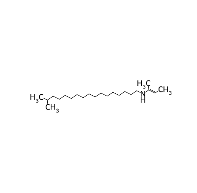 C/C=C(\C)NCCCCCCCCCCCCCCCC(C)C